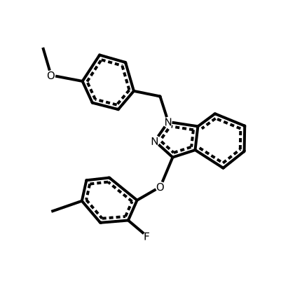 COc1ccc(Cn2nc(Oc3ccc(C)cc3F)c3ccccc32)cc1